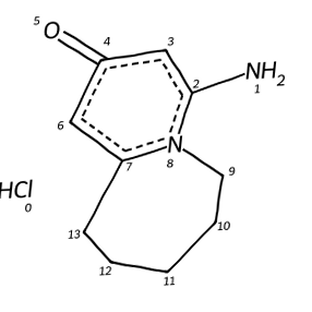 Cl.Nc1cc(=O)cc2n1CCCCC2